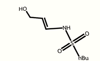 CCCCS(=O)(=O)NC=CCO